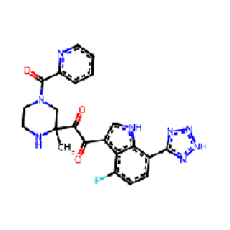 CC1(C(=O)C(=O)c2c[nH]c3c(-c4nn[nH]n4)ccc(F)c23)CN(C(=O)c2ccccn2)CCN1